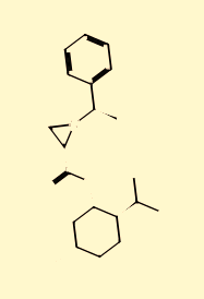 CC(C)[C@H]1CC[C@H](C)C[C@@H]1OC(=O)[C@@H]1CN1[C@H](C)c1ccccc1